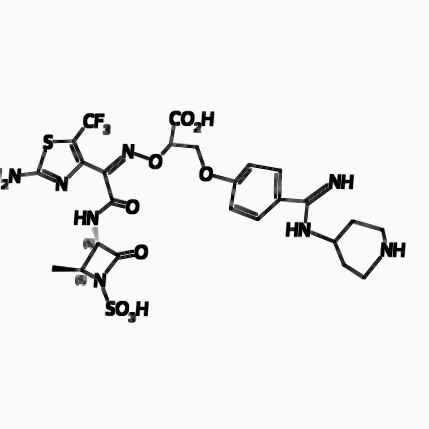 C[C@H]1[C@H](NC(=O)C(=NOC(COc2ccc(C(=N)NC3CCNCC3)cc2)C(=O)O)c2nc(N)sc2C(F)(F)F)C(=O)N1S(=O)(=O)O